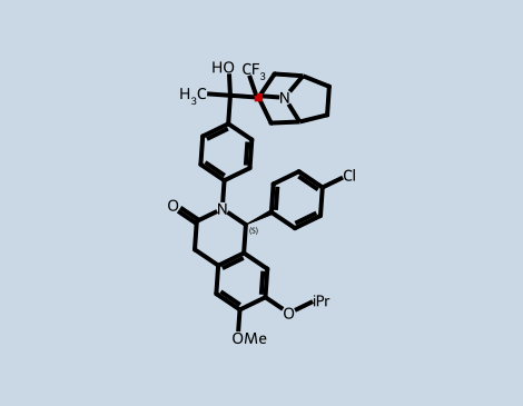 COc1cc2c(cc1OC(C)C)[C@H](c1ccc(Cl)cc1)N(c1ccc(C(C)(O)C3CC4CCC(C3)N4CC(F)(F)F)cc1)C(=O)C2